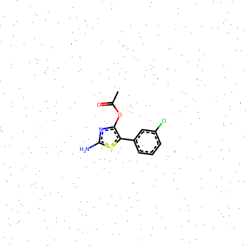 CC(=O)Oc1nc(N)sc1-c1cccc(Cl)c1